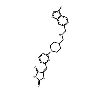 Cn1cnc2cc(CNCC3CCN(c4nccc(C=C5SC(=O)NC5=O)n4)CC3)ccc21